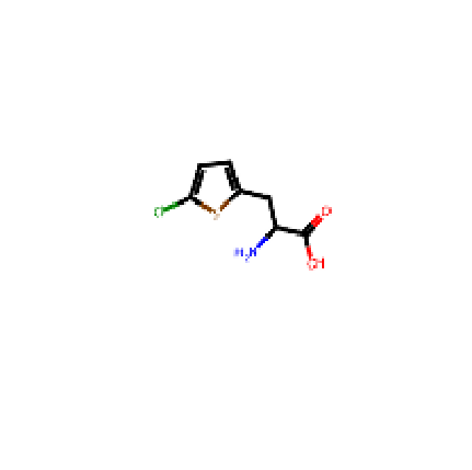 NC(Cc1ccc(Cl)s1)C(=O)O